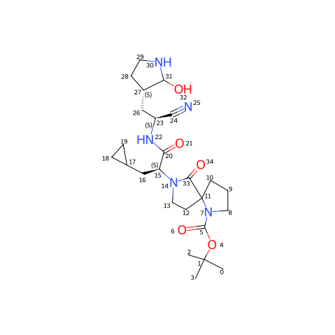 CC(C)(C)OC(=O)N1CCCC12CCN([C@@H](CC1CC1)C(=O)N[C@H](C#N)C[C@@H]1CCNC1O)C2=O